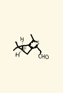 Cc1sc(CC=O)c2c1[C@H]1[C@@H](C2)C1(C)C